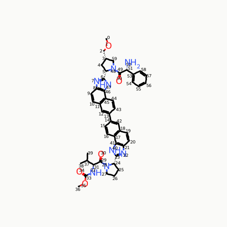 COC[C@H]1C[C@@H](c2nc3ccc4cc(-c5ccc6c(ccc7nc([C@@H]8CCCN8C(=O)[C@@H](NC(=O)OC)C(C)C)[nH]c76)c5)ccc4c3[nH]2)N(C(=O)[C@H](N)c2ccccc2)C1